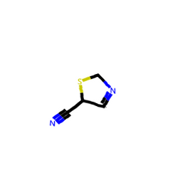 N#CC1[C]=NCS1